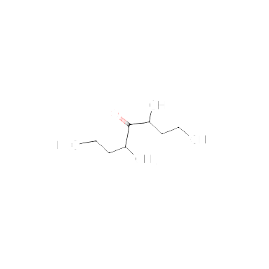 CCCC(C)C(=O)C(C)CCC